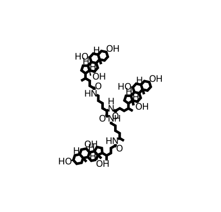 CC(CCCCNC(=O)C(CCCCNC(=O)CCC(C)C1CC[C@H]2[C@H]3C(CC(O)[C@]12C)C1(C)CC[C@@H](O)C[C@@H]1C[C@@H]3O)NC(=O)CCC(C)C1CC[C@H]2[C@H]3C(CC(O)C12C)C1(C)CC[C@@H](O)C[C@@H]1C[C@@H]3O)NC(=O)CCC(C)C1CC[C@H]2[C@H]3C(CC(O)C12C)C1(C)CC[C@@H](O)C[C@@H]1C[C@@H]3O